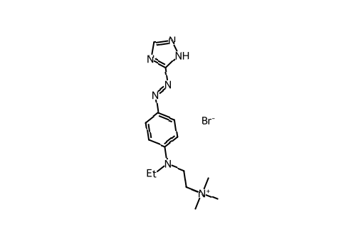 CCN(CC[N+](C)(C)C)c1ccc(N=Nc2ncn[nH]2)cc1.[Br-]